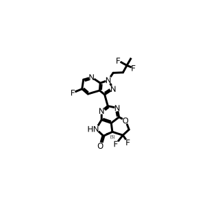 CC(F)(F)CCn1nc(-c2nc3c4c(n2)OCC(F)(F)[C@]4(C)C(=O)N3)c2cc(F)cnc21